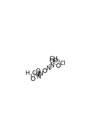 COC(=O)C(c1cccc(Cl)c1)N1CCN(c2ccc(-n3cnn(C(C)c4ccccc4)c3=O)cc2)CC1